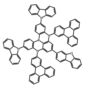 c1ccc2c(c1)oc1cc(-c3cc4c5c(c3)N(c3ccc6c7ccccc7c7ccccc7c6c3)c3cc(-n6c7ccccc7c7ccccc76)ccc3B5c3ccc(-n5c6ccccc6c6ccccc65)cc3N4c3ccc4c5ccccc5c5ccccc5c4c3)ccc12